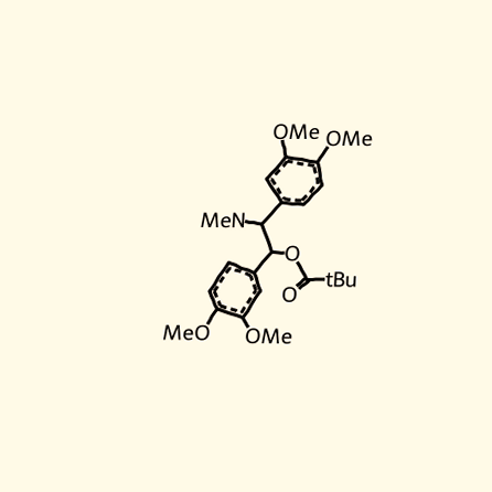 CNC(c1ccc(OC)c(OC)c1)C(OC(=O)C(C)(C)C)c1ccc(OC)c(OC)c1